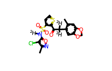 [2H]N(c1onc(C)c1Cl)S(=O)(=O)c1ccsc1C(=O)C([2H])([2H])c1cc2c(cc1C)OCO2